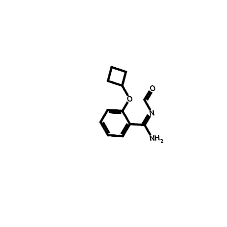 N/C(=N/C=O)c1ccccc1OC1CCC1